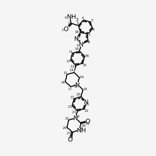 NC(=O)c1cccc2cn(-c3ccc([C@@H]4CCCN(Cc5ccc(N6CCC(=O)NC6=O)cn5)C4)cc3)nc12